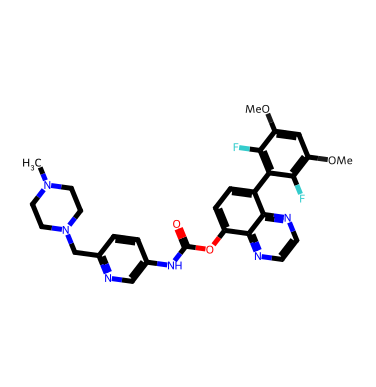 COc1cc(OC)c(F)c(-c2ccc(OC(=O)Nc3ccc(CN4CCN(C)CC4)nc3)c3nccnc23)c1F